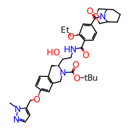 CCOc1cc(C(=O)N2C3CCCC2COC3)ccc1C(=O)NC[C@@H](O)[C@@H]1Cc2ccc(OCc3ccnn3C)cc2CN1C(=O)OC(C)(C)C